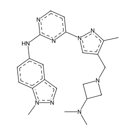 Cc1nn(-c2ccnc(Nc3ccc4c(cnn4C)c3)n2)cc1CN1CC(N(C)C)C1